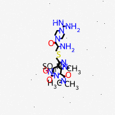 CN(C)C(=O)C1c2c(c(CSC[C@H](N)C(=O)N3CCN(C(=N)N)CC3)nn2C)C2CN1C(=O)N2OS(=O)(=O)O